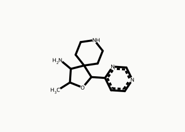 CC1OC(c2ccncn2)C2(CCNCC2)C1N